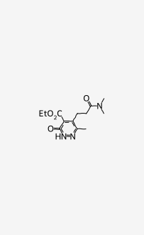 CCOC(=O)c1c(CCC(=O)N(C)C)c(C)n[nH]c1=O